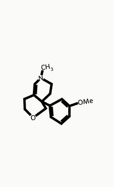 COc1cccc(C23CCN(C)C=C2CCOC3)c1